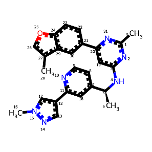 Cc1nc(N[C@@H](C)c2ccnc(-c3cnn(C)c3)c2)cc(-c2ccc3occ(C)c3c2)n1